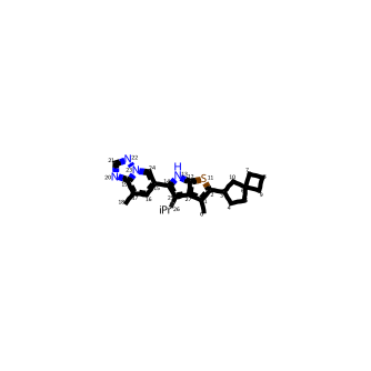 Cc1c(C2CCC3(CCC3)C2)sc2[nH]c(-c3cc(C)c4ncnn4c3)c(C(C)C)c12